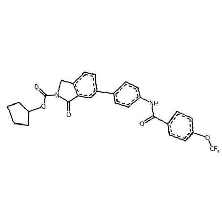 O=C(Nc1ccc(-c2ccc3c(c2)C(=O)N(C(=O)OC2CCCC2)C3)cc1)c1ccc(OC(F)(F)F)cc1